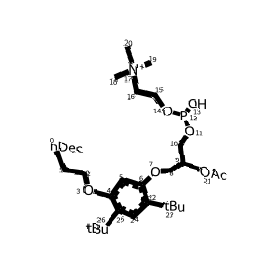 CCCCCCCCCCCCOc1cc(OCC(COP(O)OCC[N+](C)(C)C)OC(C)=O)c(C(C)(C)C)cc1C(C)(C)C